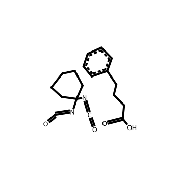 O=C(O)CCCc1ccccc1.O=C=NC1(N=C=O)CCCCC1